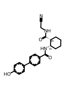 N#CCNC(=O)[C@@H]1CCCC[C@@H]1NC(=O)c1ccc(-c2ccc(O)cc2)cc1